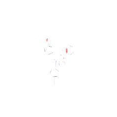 CC(C)(C)[Si](C)(C)Oc1cccc(C2(O)N(c3ccc(Cl)cc3)C(=O)N(c3ccc(Cl)cc3)C23CCC3)c1